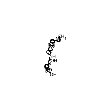 Cc1cccc(-c2cccc(S(=O)(=O)N3CCC4(CC3)C[C@@H](NCC(O)COc3cccc(S(=O)(=O)CCO)c3)CO4)c2)n1